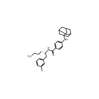 CCCC[C@@H](Cc1cccc(F)c1)NC(=O)c1ccc(NC23CC4CC(CC(C4)C2)C3)cc1